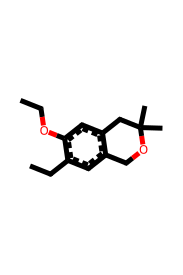 CCOc1cc2c(cc1CC)COC(C)(C)C2